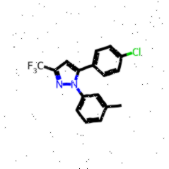 Cc1cccc(-n2nc(C(F)(F)F)cc2-c2ccc(Cl)cc2)c1